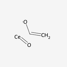 C=C[O].[O]=[Ce]